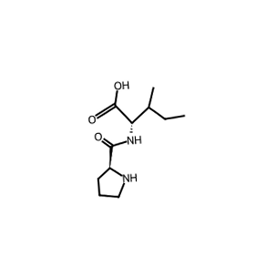 CCC(C)[C@H](NC(=O)[C@@H]1CCCN1)C(=O)O